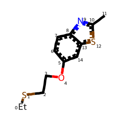 CCSCCOc1ccc2nc(C)sc2c1